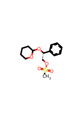 CS(=O)(=O)OC[C@H](OC1CCCCO1)c1ccccc1